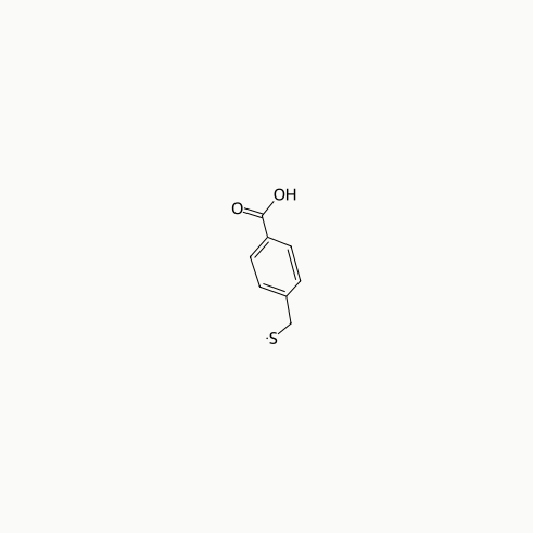 O=C(O)c1ccc(C[S])cc1